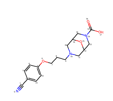 N#Cc1ccc(OCCCN2CC3CN(C(=O)O)CC(C2)O3)cc1